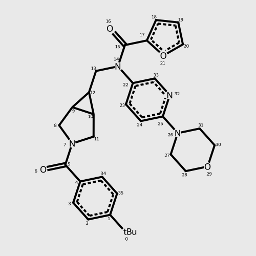 CC(C)(C)c1ccc(C(=O)N2CC3C(C2)C3CN(C(=O)c2ccco2)c2ccc(N3CCOCC3)nc2)cc1